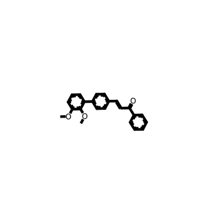 COc1cccc(-c2ccc(C=CC(=O)c3ccccc3)cc2)c1OC